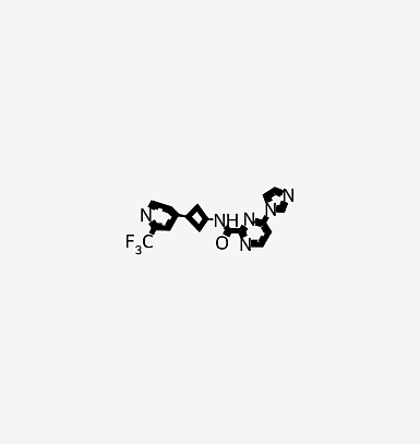 O=C(N[C@H]1C[C@H](c2ccnc(C(F)(F)F)c2)C1)c1nccc(-n2ccnc2)n1